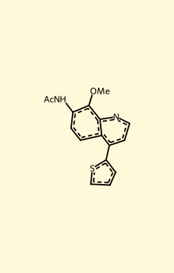 COc1c(NC(C)=O)ccc2c(-c3cccs3)ccnc12